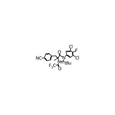 CC(C)(C)[C@@H]1N(c2cc(Cl)c(F)c(Cl)c2)C(=O)[C@@](C)(Cc2ccc(C#N)cc2)N1C(=O)C(F)(F)F